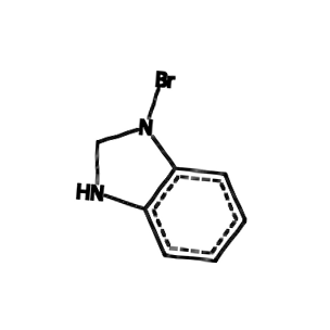 BrN1CNc2ccccc21